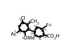 COc1c(C(C)=O)cc(Cl)c(C)c1-c1ccc(C(=O)O)c(F)c1